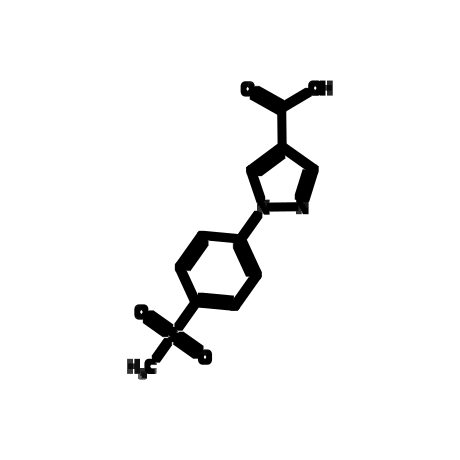 CS(=O)(=O)c1ccc(-n2cc(C(=O)O)cn2)cc1